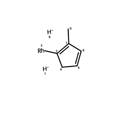 CC1=[C]([Rh])CC=C1.[H-].[H-]